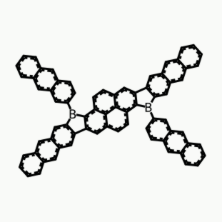 c1ccc2cc3cc(B4c5cc6cc7ccccc7cc6cc5-c5cc6ccc7c8c(cc9ccc(c54)c6c97)-c4cc5cc6ccccc6cc5cc4B8c4ccc5cc6ccccc6cc5c4)ccc3cc2c1